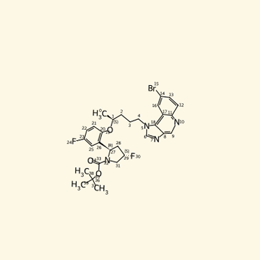 C[C@@H](CCCn1cnc2cnc3ccc(Br)cc3c21)Oc1ccc(F)cc1[C@H]1C[C@H](F)CN1C(=O)OC(C)(C)C